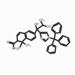 CC(C)C(O)(c1ccc2c(c1)C=CC(C(N)=O)C2(C)Cl)c1cn(C(c2ccccc2)(c2ccccc2)c2ccccc2)cn1